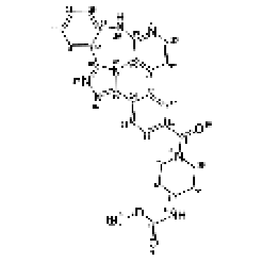 CC(C)(C)OC(=O)NC1CCN(C(=O)c2ccc(-c3nnc4n3-c3cccnc3Nc3ccccc3-4)cc2)CC1